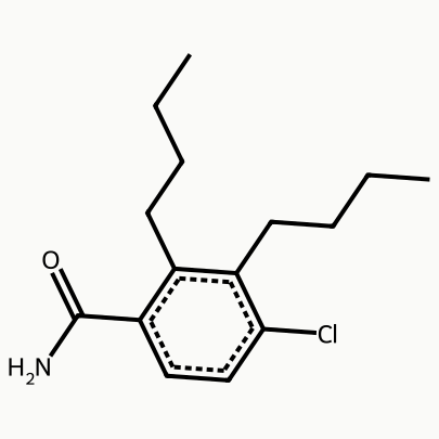 CCCCc1c(Cl)ccc(C(N)=O)c1CCCC